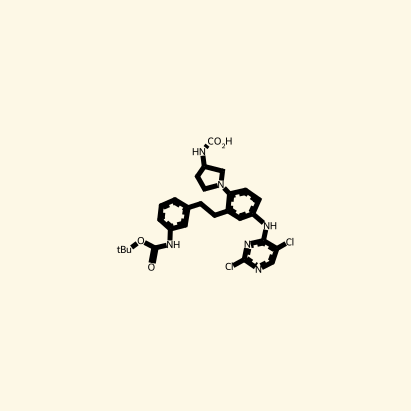 CC(C)(C)OC(=O)Nc1cccc(CCc2cc(Nc3nc(Cl)ncc3Cl)ccc2N2CCC(NC(=O)O)C2)c1